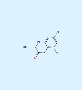 O=C(O)C1Nc2cc(Cl)cc(Cl)c2CC1=O